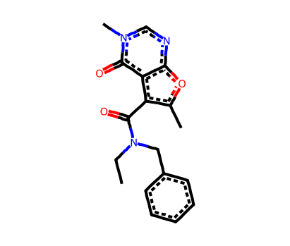 CCN(Cc1ccccc1)C(=O)c1c(C)oc2ncn(C)c(=O)c12